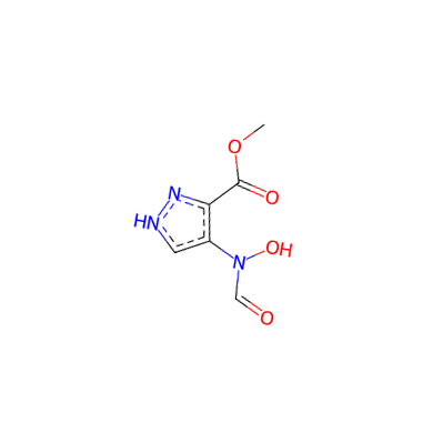 COC(=O)c1n[nH]cc1N(O)C=O